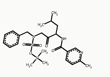 Cc1ccc(C(=O)NC(CC(C)C)C(=O)CN(Cc2ccccc2)S(=O)(=O)O[Si](C)(C)C)cn1